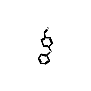 S=Cc1ccc(Sc2ccccc2)cc1